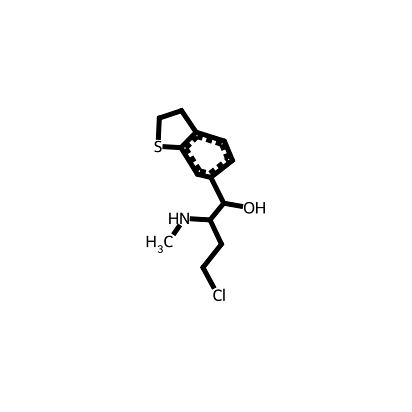 CNC(CCCl)C(O)c1ccc2c(c1)SCC2